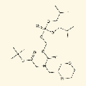 CC(C)COP(=O)(OCOC(=O)N(CC(=O)OC(C)(C)C)CC1COCCN1)OCC(C)C